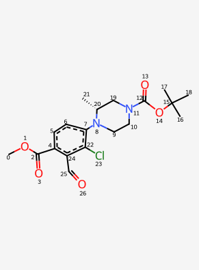 COC(=O)c1ccc(N2CCN(C(=O)OC(C)(C)C)C[C@H]2C)c(Cl)c1C=O